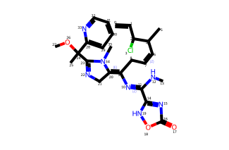 C=CC(Cl)C(C)/C=C\CC(/N=C(\NC)c1nc(=O)o[nH]1)=C1/CN=C(C(C)(OC)c2ccccn2)N1C